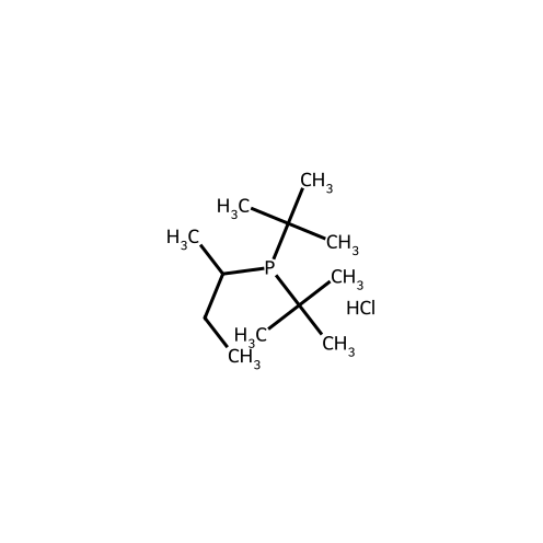 CCC(C)P(C(C)(C)C)C(C)(C)C.Cl